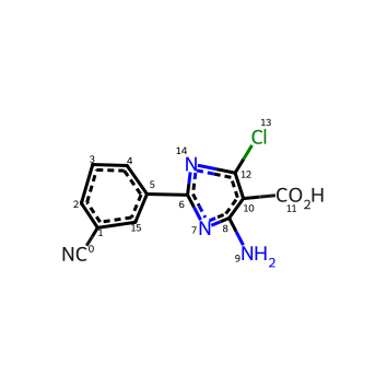 N#Cc1cccc(-c2nc(N)c(C(=O)O)c(Cl)n2)c1